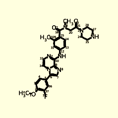 COc1ccc(-c2cnc3c(Nc4ccc(C(=O)N(C)CC(=O)N5CCNCC5)c(C)c4)nccn23)cc1F